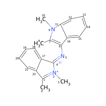 CC1=[N+](C)/C(=N/c2c(C)n(C)c3ccccc23)c2ccccc21